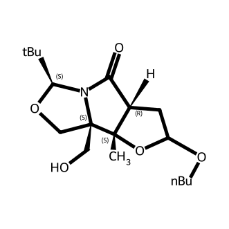 CCCCOC1C[C@H]2C(=O)N3[C@H](C(C)(C)C)OC[C@@]3(CO)[C@@]2(C)O1